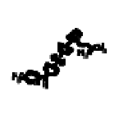 CN(C)CCn1cccc1-c1ccc(S(=O)(=O)N2CCC(Nc3ccc(C(F)(F)F)cn3)CC2)cc1